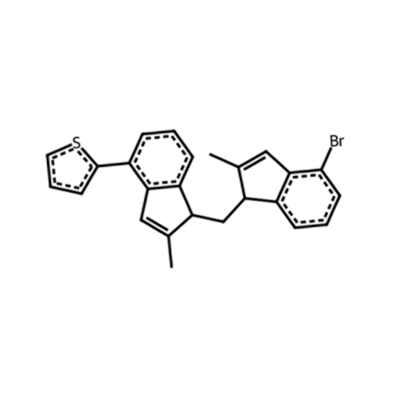 CC1=Cc2c(Br)cccc2C1CC1C(C)=Cc2c(-c3cccs3)cccc21